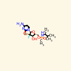 CC(C)[C@H](C)NP(C)(=O)OC[C@H]1O[C@@H](n2ccc(N)nc2=O)C(F)(Br)[C@H]1O